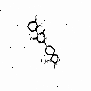 Cc1nc(N2CCC3(CC2)CO[C@@H](C)[C@H]3N)cc(=O)n1C1=C(Cl)C(Cl)=CCC1